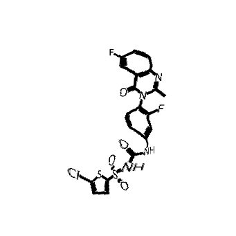 Cc1nc2ccc(F)cc2c(=O)n1-c1ccc(NC(=O)NS(=O)(=O)c2ccc(Cl)s2)cc1F